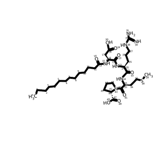 CCCCCCCCCCCCCC(=O)N[C@@H](CC(=O)O)C(=O)N[C@@H](CCCNC(=N)N)C(=O)N[C@@H](CCSC)C(=O)N1CCC[C@H]1C(=O)O